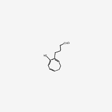 O=CCCCC1=CCC/C=C\C=C/1S